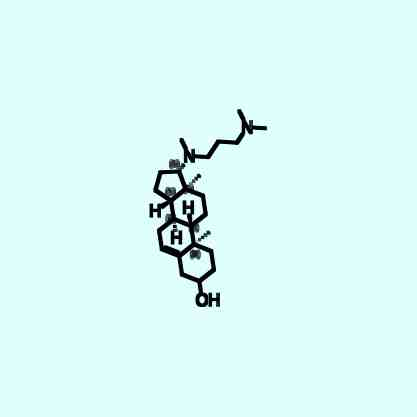 CN(C)CCCN(C)[C@H]1CC[C@H]2[C@@H]3CC=C4CC(O)CC[C@]4(C)[C@H]3CC[C@]12C